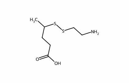 CC(CCC(=O)O)SSCCN